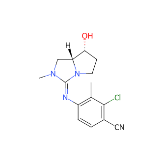 Cc1c(N=C2N(C)C[C@@H]3[C@H](O)CCN23)ccc(C#N)c1Cl